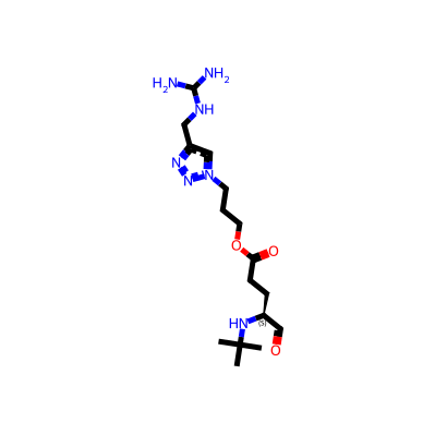 CC(C)(C)N[C@H](C=O)CCC(=O)OCCCn1cc(CNC(N)N)nn1